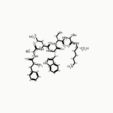 CC[C@H](C)[C@H](NC(=O)[C@H](CC(C)C)NC(=O)[C@H](Cc1c[nH]c2ccccc12)NC(=O)[C@H](CCC(=O)O)NC(=O)[C@@H](NC(=O)[C@@H](N)Cc1ccccc1)[C@@H](C)CC)C(=O)N[C@@H](CCCCN)C(=O)O